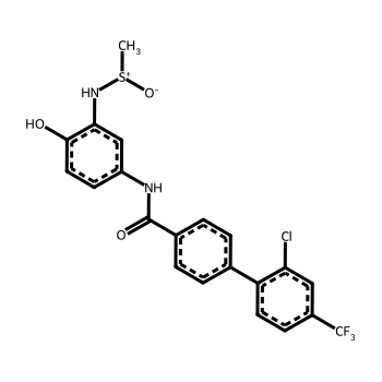 C[S+]([O-])Nc1cc(NC(=O)c2ccc(-c3ccc(C(F)(F)F)cc3Cl)cc2)ccc1O